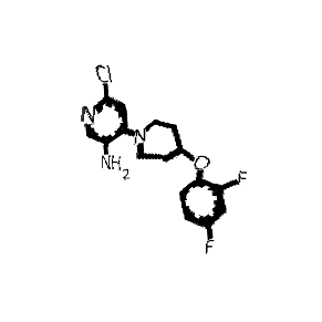 Nc1cnc(Cl)cc1N1CCC(Oc2ccc(F)cc2F)CC1